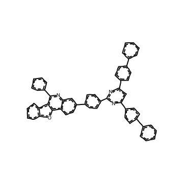 c1ccc(-c2ccc(-c3cc(-c4ccc(-c5ccccc5)cc4)nc(-c4ccc(-c5ccc6c(c5)nc(-c5ccccc5)c5c7ccccc7oc65)cc4)n3)cc2)cc1